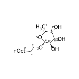 CCCCCCCCCCO[C@H]1O[C@H](C)[C@H](O)[C@H](O)[C@H]1O